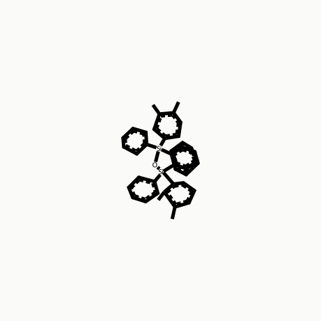 Cc1ccc([Si](O[Si](c2ccccc2)(c2ccccc2)c2cccc(C)c2C)(c2ccccc2)c2ccccc2)cc1C